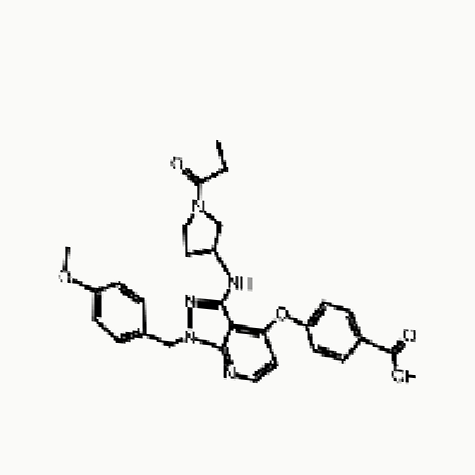 CCC(=O)N1CCC(Nc2nn(Cc3ccc(OC)cc3)c3nccc(Oc4ccc(C(=O)O)cc4)c23)C1